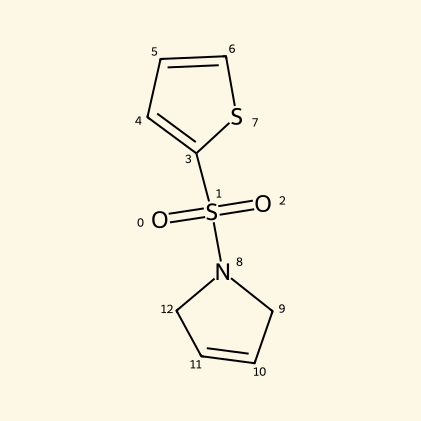 O=S(=O)(c1cccs1)N1CC=CC1